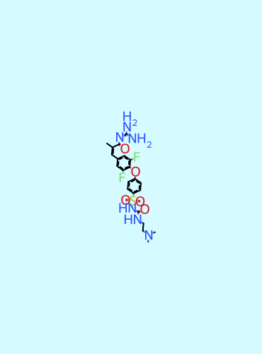 CC(=Cc1cc(F)c(Oc2ccc(S(=O)(=O)NC(=O)NCCN(C)C)cc2)c(F)c1)C(=O)N=C(N)N